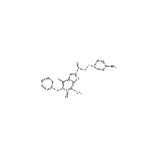 Cn1c(=O)n(Cc2ccccc2)c(=O)c2cc(C(=O)OCc3ccc(N)cc3)sc21